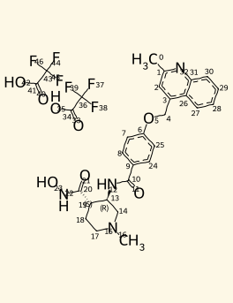 Cc1cc(COc2ccc(C(=O)N[C@H]3CN(C)CC[C@@H]3C(=O)NO)cc2)c2ccccc2n1.O=C(O)C(F)(F)F.O=C(O)C(F)(F)F